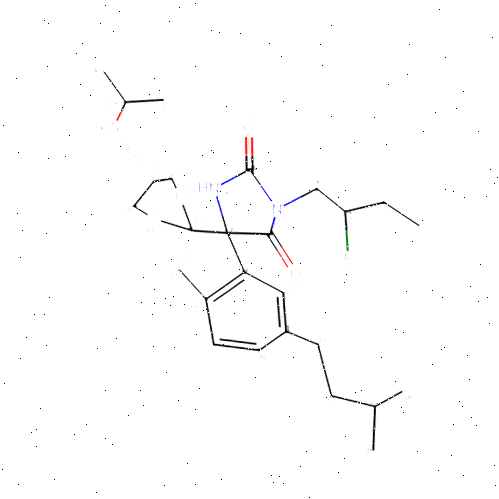 CCC(F)CN1C(=O)NC2(C1=O)c1cc(CCC(C)C)ccc1C[C@]21CC[C@@H](OC(C)C)CC1